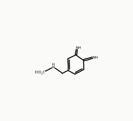 CCOC(=O)NCC1=CC(=N)C(=N)C=C1